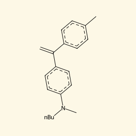 C=C(c1ccc(C)cc1)c1ccc(N(C)CCCC)cc1